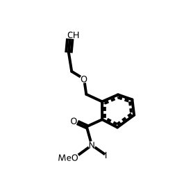 C#CCOCc1ccccc1C(=O)N(I)OC